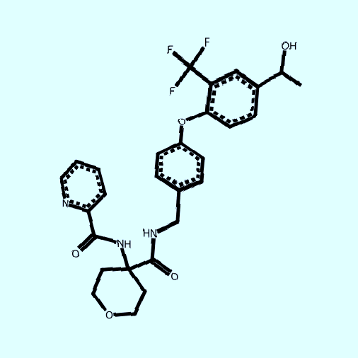 CC(O)c1ccc(Oc2ccc(CNC(=O)C3(NC(=O)c4ccccn4)CCOCC3)cc2)c(C(F)(F)F)c1